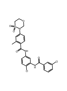 Cc1cc(N2COCCS2(=O)=O)ccc1C(=O)Nc1ccc(Cl)c(NC(=O)c2cccc(Cl)c2)c1